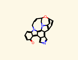 O=C1C=CC=c2c1c1c3c(c4c5ccc6cc5n5c4c1n2C/C=C\C(C5)O6)C=NC=3